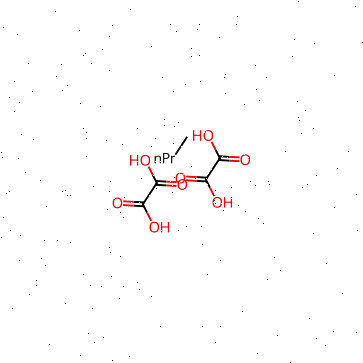 CCCC.O=C(O)C(=O)O.O=C(O)C(=O)O